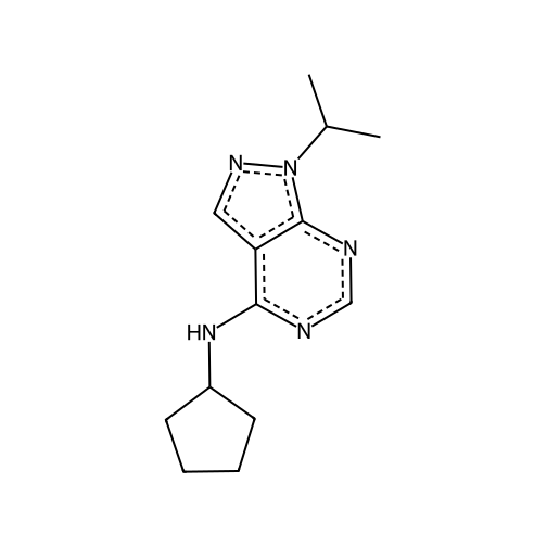 CC(C)n1ncc2c(NC3CCCC3)ncnc21